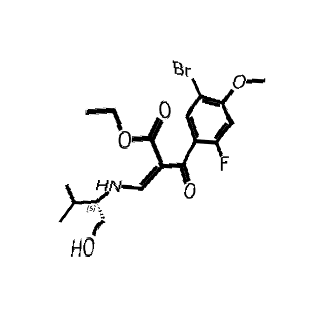 CCOC(=O)C(=CN[C@H](CO)C(C)C)C(=O)c1cc(Br)c(OC)cc1F